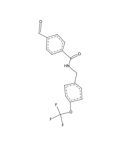 O=Cc1ccc(C(=O)NCc2ccc(OC(F)(F)F)cc2)cc1